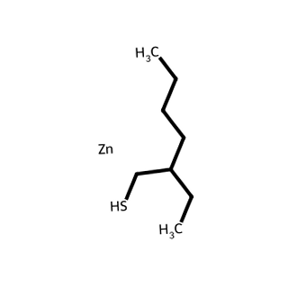 CCCCC(CC)CS.[Zn]